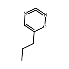 CCCC1=CN=C=NO1